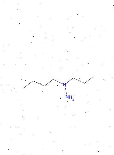 CCCCN(N)CCC